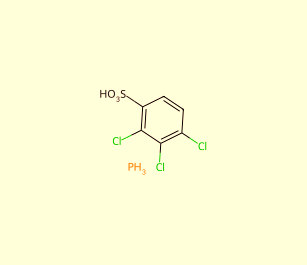 O=S(=O)(O)c1ccc(Cl)c(Cl)c1Cl.P